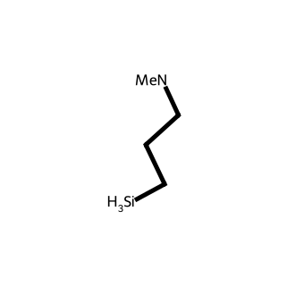 CNCCC[SiH3]